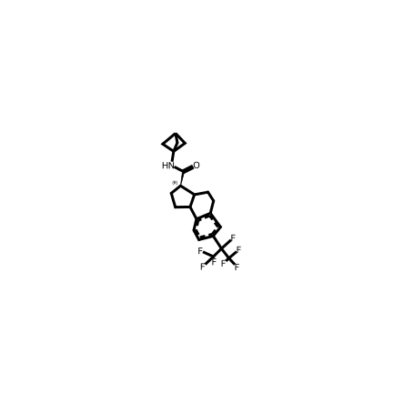 O=C(NC12CC(C1)C2)[C@@H]1CCC2c3ccc(C(F)(C(F)(F)F)C(F)(F)F)cc3CCC21